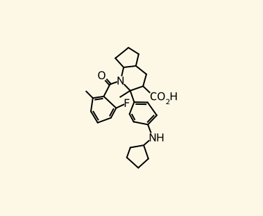 Cc1cccc(F)c1C(=O)N1C2CCCC2CC(C(=O)O)C1(C)c1ccc(NC2CCCC2)cc1